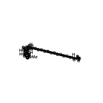 COc1cccc2c1C(=O)c1c(O)c3c(c(O)c1C2=O)C[C@@](O)(C(=O)CO)C[C@@H]3OC1C[C@H](NC(=O)CCOCCOCCOCCOCCOCCOCCOCCOCCOCCOCCOCCOCCNC(=O)CCN2C(=O)C=CC2=O)[C@H](O)[C@@H](C)O1